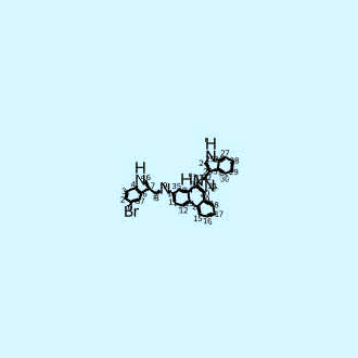 Brc1ccc2[nH]cc(/C=N/c3ccc4c5ccccc5c5nc(-c6c[nH]c7ccccc67)[nH]c5c4c3)c2c1